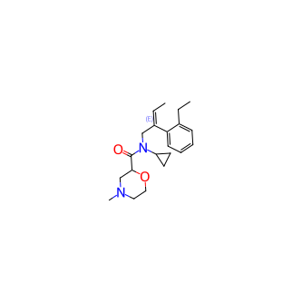 C/C=C(/CN(C(=O)C1CN(C)CCO1)C1CC1)c1ccccc1CC